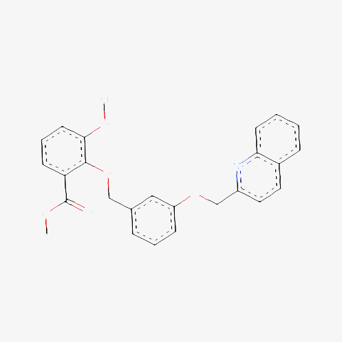 COC(=O)c1cccc(OC)c1OCc1cccc(OCc2ccc3ccccc3n2)c1